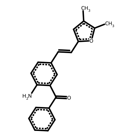 Cc1cc(C=Cc2ccc(N)c(C(=O)c3ccccc3)c2)oc1C